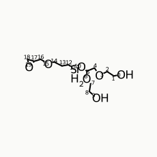 OCCOCC(OCCO)O[SiH2]CCCOCC1CO1